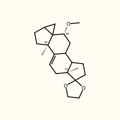 CO[C@@H]1CC2C(=CC[C@@]3(C)C2CCC32OCCO2)[C@@]2(C)CCC3CC312